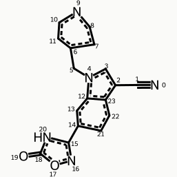 N#Cc1cn(Cc2ccncc2)c2cc(-c3noc(=O)[nH]3)ccc12